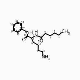 CCCCCC(=O)NC(CCCCN)C(=O)Nc1ccccc1